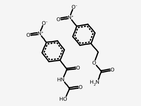 NC(=O)OCc1ccc([N+](=O)[O-])cc1.O=C(O)NC(=O)c1ccc([N+](=O)[O-])cc1